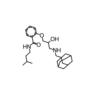 CC(C)CCNC(=O)c1ccccc1OCC(O)CNCC12CC3CC(CC(C3)C1)C2